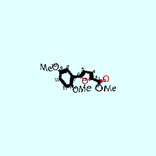 COC(=O)c1ccc(-c2cc(OC)ccc2OC)o1